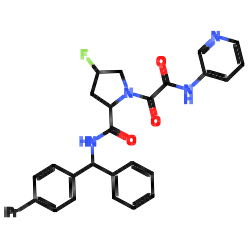 CC(C)c1ccc(C(NC(=O)C2CC(F)CN2C(=O)C(=O)Nc2cccnc2)c2ccccc2)cc1